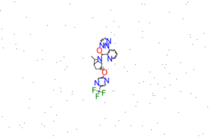 CC1C2CC([C@@H](Oc3cnc(C(F)(F)F)cn3)C2)N1C(=O)c1ncccc1-n1nccn1